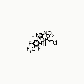 O=C(CCCl)Nc1c([N+](=O)[O-])cnn1-c1c(F)c(F)c(C(F)(F)F)c(F)c1F